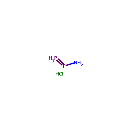 Cl.NP=[PH3]